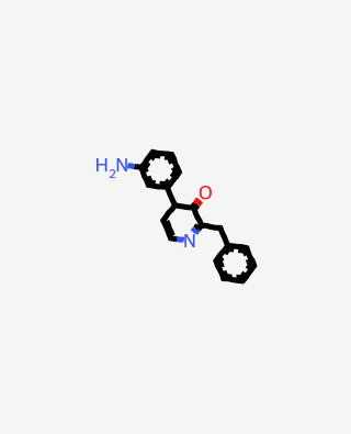 Nc1cccc(C2C=CN=C(Cc3ccccc3)C2=O)c1